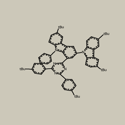 CC(C)(C)c1ccc(-c2nc(-c3ccc(C(C)(C)C)cc3)nc(-c3cc(-n4c5ccc(C(C)(C)C)cc5c5cc(C(C)(C)C)ccc54)cc4c5cc(C(C)(C)C)ccc5n(-c5ccccc5)c34)n2)cc1